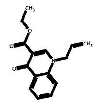 C=CCn1cc(C(=O)OCC)c(=O)c2ccccc21